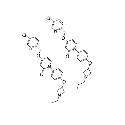 CCCN1CC(Oc2ccc(-n3ccc(OCc4ccc(Cl)cn4)cc3=O)cc2)C1.CCN1CC(Oc2ccc(-n3ccc(OCc4ccc(Cl)cn4)cc3=O)cc2)C1